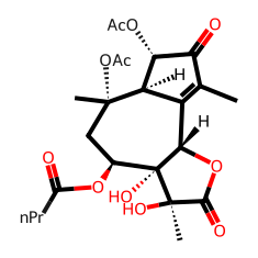 CCCC(=O)O[C@H]1C[C@](C)(OC(C)=O)[C@@H]2C(=C(C)C(=O)[C@H]2OC(C)=O)[C@@H]2OC(=O)[C@@](C)(O)[C@@]12O